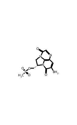 Bc1cc2ncc(=O)n3c2n(c1=O)[C@H](COS(C)(=O)=O)C3